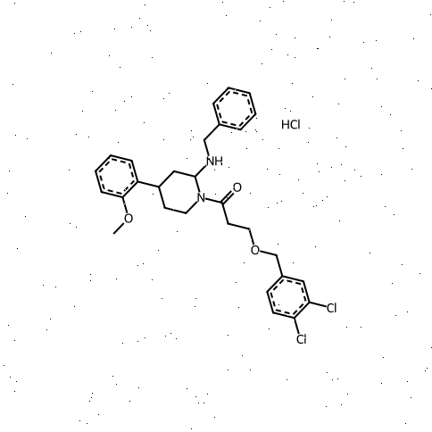 COc1ccccc1C1CCN(C(=O)CCOCc2ccc(Cl)c(Cl)c2)C(NCc2ccccc2)C1.Cl